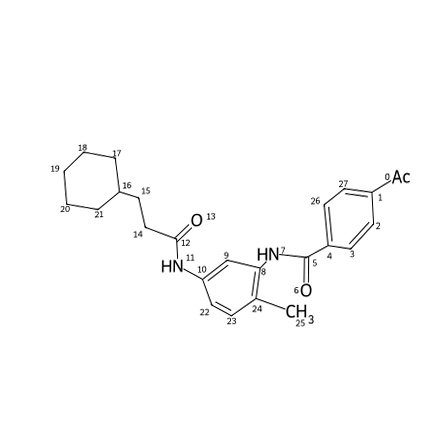 CC(=O)c1ccc(C(=O)Nc2cc(NC(=O)CCC3CCCCC3)ccc2C)cc1